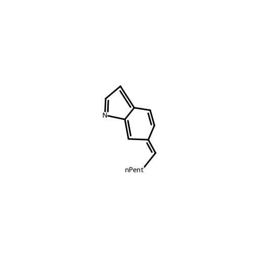 CCCCCC=c1ccc2c(c1)N=CC=2